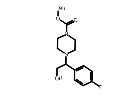 CC(C)(C)OC(=O)N1CCN(C(CO)c2ccc(F)cc2)CC1